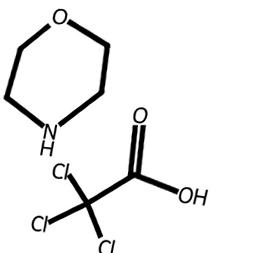 C1COCCN1.O=C(O)C(Cl)(Cl)Cl